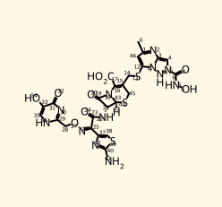 CC1=NC2=CN(C(=O)NO)NN2C(SCC2=C(C(=O)O)N3C(=O)[C@@H](NC(=O)/C(=N\OCc4nc(=O)c(O)c[nH]4)c4csc(N)n4)[C@H]3SC2)=C1